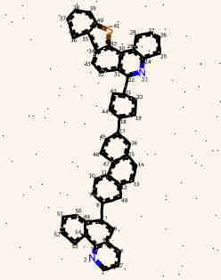 c1cnc2c(c1)cc(-c1ccc3c(ccc4cc(-c5ccc(-c6nc7ccccc7c7c6ccc6c8ccccc8sc67)cc5)ccc43)c1)c1ccccc12